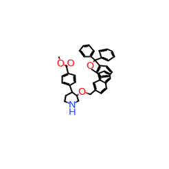 COC(=O)c1ccc(C2CCNCC2OCc2ccc3cccc(COC(c4ccccc4)(c4ccccc4)c4ccccc4)c3c2)cc1